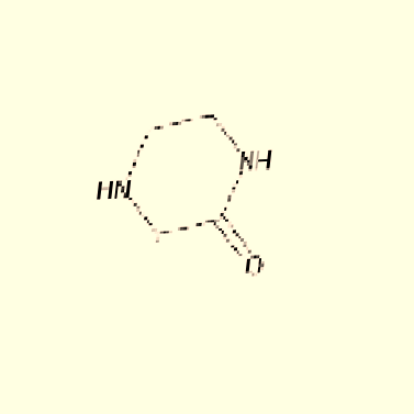 O=C1[CH]NCCN1